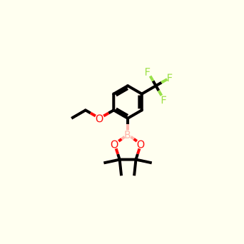 CCOc1ccc(C(F)(F)F)cc1B1OC(C)(C)C(C)(C)O1